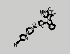 N#Cc1ccc(N2CCN(C(=O)C[C@@H]3CC[C@@H]([C@H]4c5ccccc5CN4c4cn[nH]c(=O)c4C(F)(F)F)O3)CC2)nc1